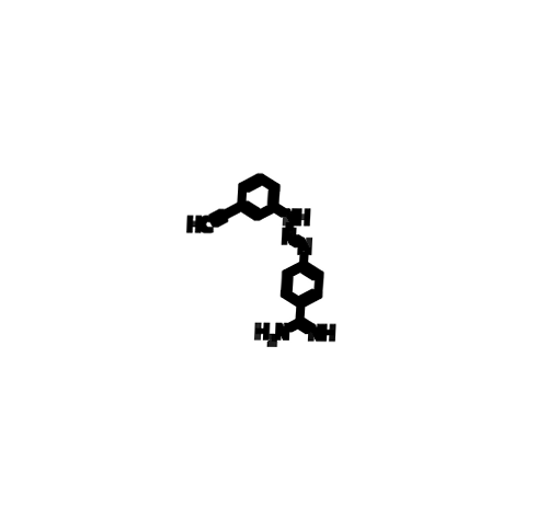 C#Cc1cccc(N/N=N/c2ccc(C(=N)N)cc2)c1